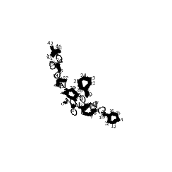 Cn1c(=O)n(-c2ccc(OCc3ccccc3)nc2OCc2ccccc2)c2ccc(N3CC(OCC(=O)OC(C)(C)C)C3)cc21